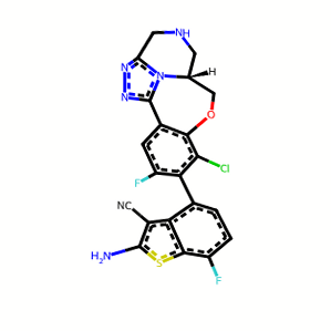 N#Cc1c(N)sc2c(F)ccc(-c3c(F)cc4c(c3Cl)OC[C@H]3CNCc5nnc-4n53)c12